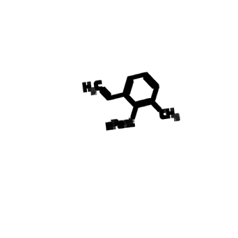 C=Cc1cccc(C)c1CCCCC